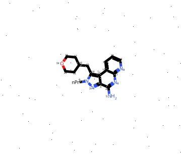 CCCn1nc2c(N)nc3ncccc3c2c1CC1CCOCC1